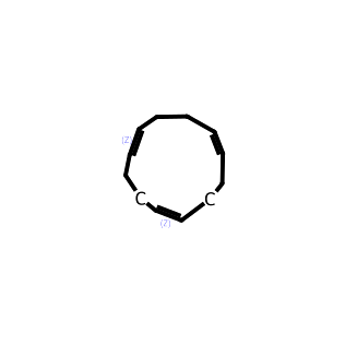 C1=CCC/C=C\CC/C=C\CC1